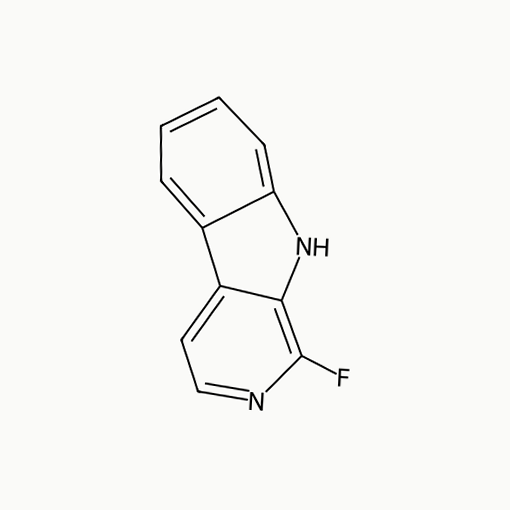 Fc1nccc2c1[nH]c1ccccc12